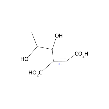 CC(O)C(O)/C(=C\C(=O)O)C(=O)O